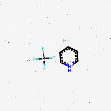 F.F[B-](F)(F)F.c1cc[nH+]cc1